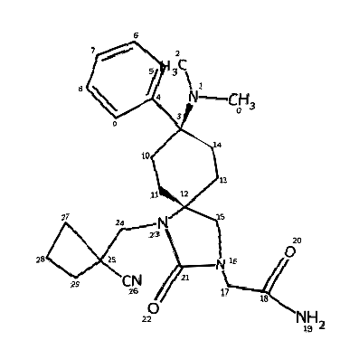 CN(C)[C@]1(c2ccccc2)CC[C@@]2(CC1)CN(CC(N)=O)C(=O)N2CC1(C#N)CCC1